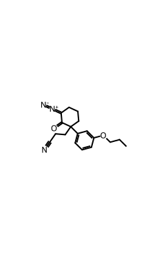 CCCOc1cccc(C2(CCC#N)CCCC(=[N+]=[N-])C2=O)c1